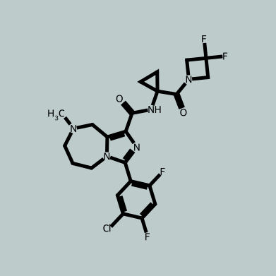 CN1CCCn2c(-c3cc(Cl)c(F)cc3F)nc(C(=O)NC3(C(=O)N4CC(F)(F)C4)CC3)c2C1